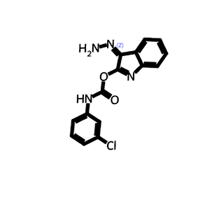 N/N=C1\C(OC(=O)Nc2cccc(Cl)c2)=Nc2ccccc21